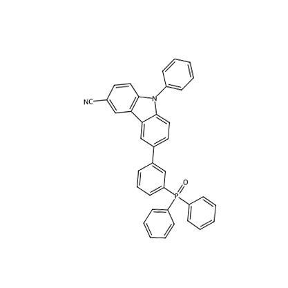 N#Cc1ccc2c(c1)c1cc(-c3cccc(P(=O)(c4ccccc4)c4ccccc4)c3)ccc1n2-c1ccccc1